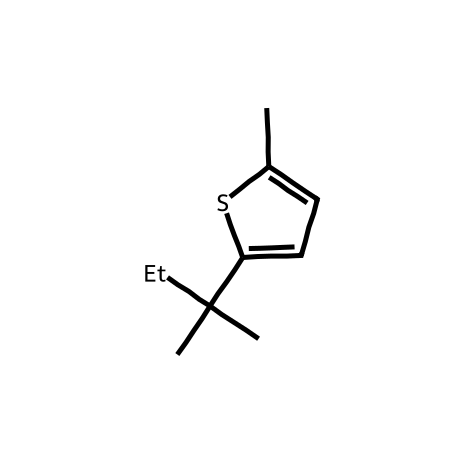 CCC(C)(C)c1ccc(C)s1